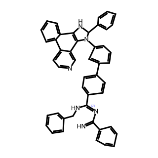 N=C(/N=C(\NCc1ccccc1)c1ccc(-c2cccc(N3c4c(c5ccccc5c5ccncc45)NC3c3ccccc3)c2)cc1)c1ccccc1